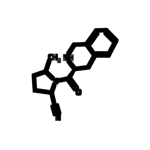 CC1CCC(C#N)N1C(=O)[C@@H]1Cc2ccccc2CN1